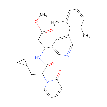 COC(=O)CC(NC(=O)C(CC1CC1)n1ccccc1=O)c1cncc(-c2c(C)cccc2C)c1